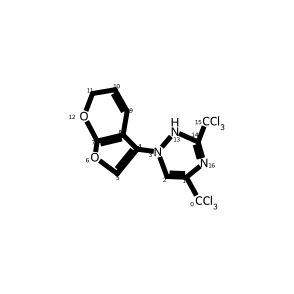 ClC(Cl)(Cl)C1=CN(c2coc3c2C=CCO3)NC(C(Cl)(Cl)Cl)=N1